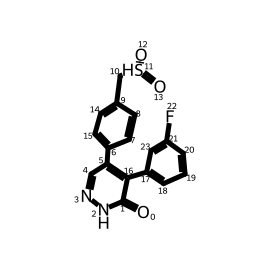 O=c1[nH]ncc(-c2ccc(C[SH](=O)=O)cc2)c1-c1cccc(F)c1